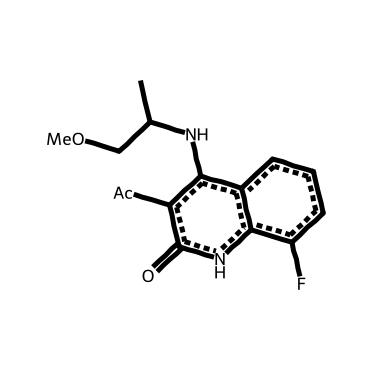 COCC(C)Nc1c(C(C)=O)c(=O)[nH]c2c(F)cccc12